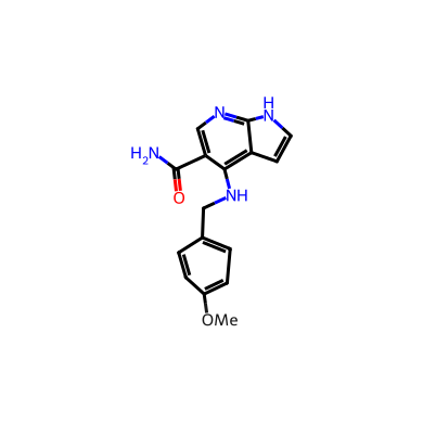 COc1ccc(CNc2c(C(N)=O)cnc3[nH]ccc23)cc1